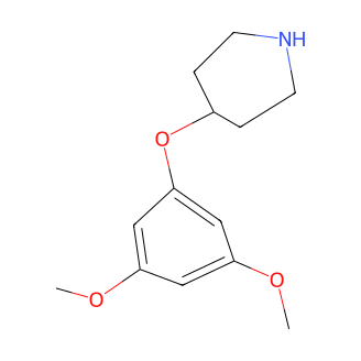 COc1cc(OC)cc(OC2CCNCC2)c1